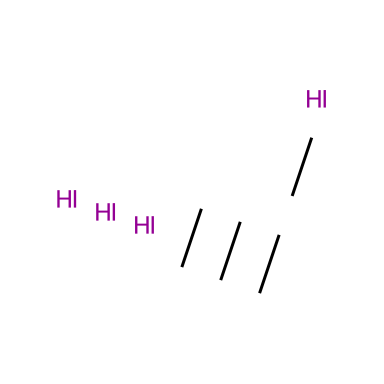 CC.CC.CC.CC.I.I.I.I